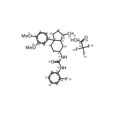 COc1ccc(C23CCC(NC(=O)Nc4ccccc4F)CC2N(C)CC3)cc1OC.O=C(O)C(F)(F)F